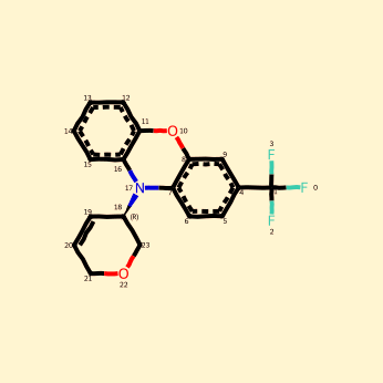 FC(F)(F)c1ccc2c(c1)Oc1ccccc1N2[C@@H]1C=CCOC1